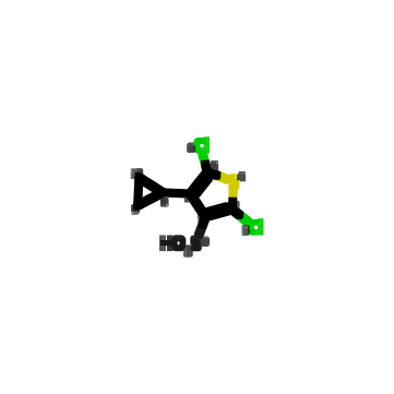 O=S(=O)(O)c1c(Cl)sc(Cl)c1C1CC1